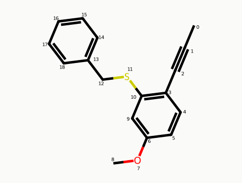 CC#Cc1ccc(OC)cc1SCc1ccccc1